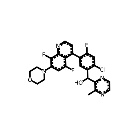 Cc1nccnc1C(O)c1cc(-c2ccnc3c(F)c(N4CCOCC4)cc(F)c23)c(F)cc1Cl